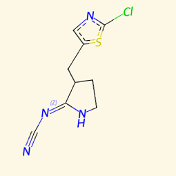 N#C/N=C1\NCCC1Cc1cnc(Cl)s1